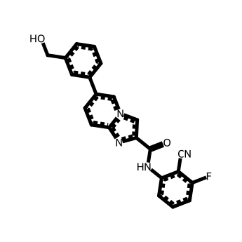 N#Cc1c(F)cccc1NC(=O)c1cn2cc(-c3cccc(CO)c3)ccc2n1